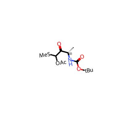 CSC(OC(C)=O)C(=O)[C@H](C)NC(=O)OC(C)(C)C